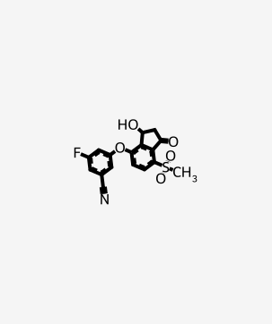 CS(=O)(=O)c1ccc(Oc2cc(F)cc(C#N)c2)c2c1C(=O)CC2O